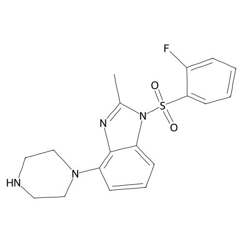 Cc1nc2c(N3CCNCC3)cccc2n1S(=O)(=O)c1ccccc1F